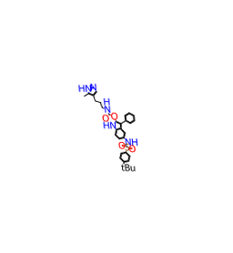 Cc1[nH]ncc1CCCNC(=O)Oc1[nH]c2ccc(NS(=O)(=O)c3ccc(C(C)(C)C)cc3)cc2c1-c1ccccc1